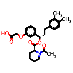 CC(=O)N1CCCC[C@H]1C(=O)O[C@@H](CCc1ccc(C)c(C)c1)c1cccc(OCC(=O)O)c1